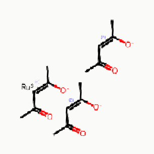 CC(=O)/C=C(/C)[O-].CC(=O)/C=C(/C)[O-].CC(=O)/C=C(/C)[O-].[Ru+3]